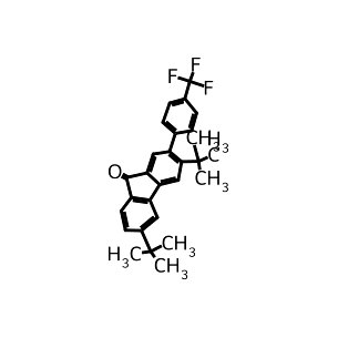 CC(C)(C)c1ccc2c(c1)-c1cc(C(C)(C)C)c(-c3ccc(C(F)(F)F)cc3)cc1C2=O